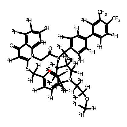 [2H]c1c([2H])c(F)c(F)c(C([2H])([2H])Sc2c([2H])c(=O)c3c([2H])c([2H])c([2H])c([2H])c3n2CC(=O)N(C([2H])([2H])c2c([2H])c([2H])c(-c3c([2H])c([2H])c(C(F)(F)F)c(C)c3[2H])c([2H])c2[2H])C2([2H])C([2H])([2H])C([2H])([2H])N(C([2H])([2H])C([2H])([2H])OC([2H])([2H])[2H])C([2H])([2H])C2([2H])[2H])c1[2H]